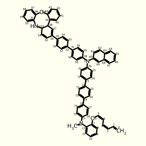 C=C/C=C\C=C/Oc1ccccc1N(C)c1ccc(-c2ccc(-c3ccc(N(c4ccc(-c5ccc(C6=CC7c8ccccc8Oc8ccccc8NC7C=C6)cc5)cc4)c4ccc5ccccc5c4)cc3)cc2)cc1